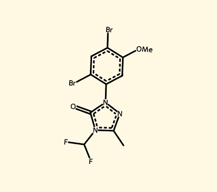 COc1cc(-n2nc(C)n(C(F)F)c2=O)c(Br)cc1Br